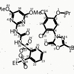 CC(C)Oc1cc(-n2nc(C(C)(C)C)oc2=O)c(Cl)cc1Cl.CCS(=O)(=O)c1cccnc1S(=O)(=O)NC(=O)Nc1nc(OC)cc(OC)n1